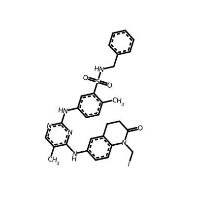 Cc1ccc(Nc2ncc(C)c(Nc3ccc4c(c3)CCC(=O)N4CI)n2)cc1S(=O)(=O)NCc1ccccc1